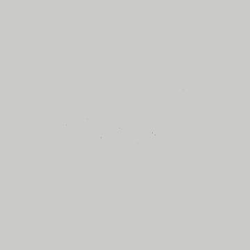 CCCNC(C)C(=O)CCC